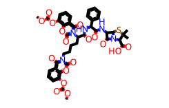 COC(=O)Oc1cccc2c(=O)n(CCCCC(C(=O)NC(C(=O)NC3C(=O)N4C3SC(C)(C)C4C(=O)O)c3ccccc3)n3c(=O)oc4c(OC(=O)OC)cccc4c3=O)c(=O)oc12